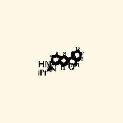 CC(C)c1nc2c(ccc3cc4c(cc32)OCc2ccccc2-4)[nH]1